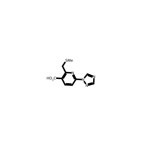 CSCc1nc(-n2cncn2)ccc1C(=O)O